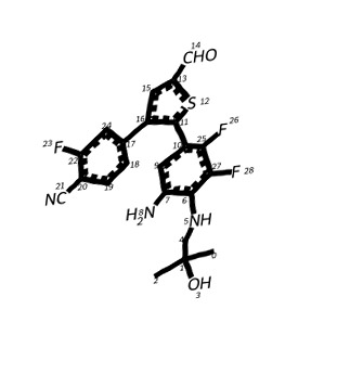 CC(C)(O)CNc1c(N)cc(-c2sc(C=O)cc2-c2ccc(C#N)c(F)c2)c(F)c1F